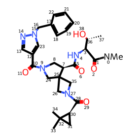 CNC(=O)[C@@H](NC(=O)[C@@H]1CN(C(=O)c2cnn(Cc3ccccc3)c2)CC12CN(C(=O)[C@H]1CC1(C)C)C2)[C@@H](C)O